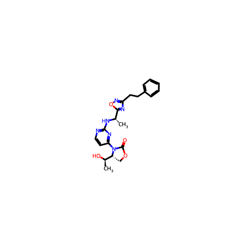 C[C@H](Nc1nccc(N2C(=O)OC[C@@H]2[C@@H](C)O)n1)c1nc(CCc2ccccc2)no1